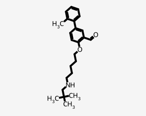 Cc1ccccc1-c1ccc(OCCCCCNCC(C)(C)C)c(C=O)c1